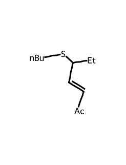 CCCCSC(C=CC(C)=O)CC